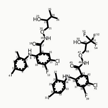 Cc1cc(I)ccc1Nc1cc(F)c(Cl)cc1C(=O)NOCC(O)C(C)C.Cc1cc(I)ccc1Nc1cc(F)c(Cl)cc1C(=O)NOCC(O)C(F)(F)F